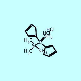 C[Si](C)(C)[Zr](=[SiH2])([C]1=CC=CC1)[C]1=CC=CC1.Cl.Cl